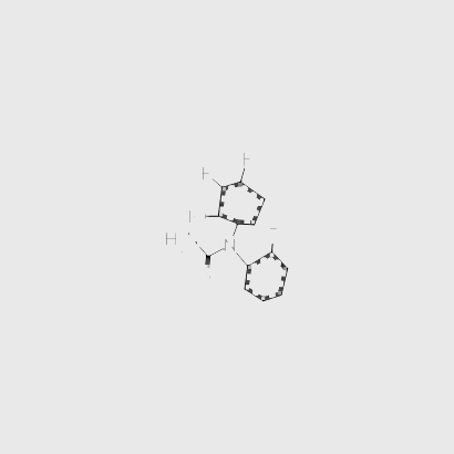 NC(=S)N(c1ccccc1F)c1ccc(F)c(F)c1O